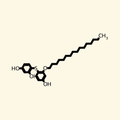 CCCCCCCCCCCCCCCCOc1cc(O)ccc1Sc1ccc(O)cc1O